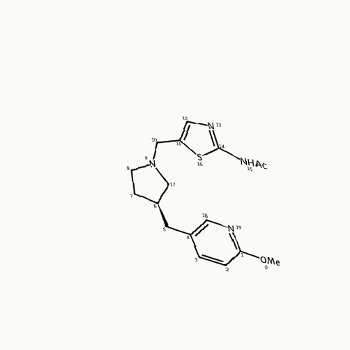 COc1ccc(C[C@H]2CCN(Cc3cnc(NC(C)=O)s3)C2)cn1